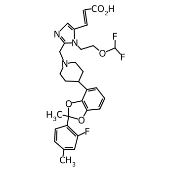 Cc1ccc(C2(C)Oc3cccc(C4CCN(Cc5ncc(/C=C/C(=O)O)n5CCOC(F)F)CC4)c3O2)c(F)c1